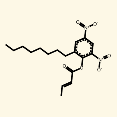 CC=CC(=O)Oc1c(CCCCCCCC)cc([N+](=O)[O-])cc1[N+](=O)[O-]